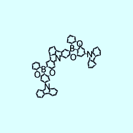 c1ccc2c(c1)Oc1cc(-n3c4ccccc4c4ccccc43)cc3c1B2c1cc2c4cccc5c6cc7c(cc6n(c2cc1O3)c45)Oc1cc(-n2c3ccccc3c3ccccc32)cc2c1B7c1ccccc1O2